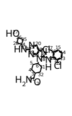 NC(=O)C1CCC(n2c(Nc3c(Cl)cccc3Cl)nc3cnc(NC4CC(O)C4)nc32)CC1